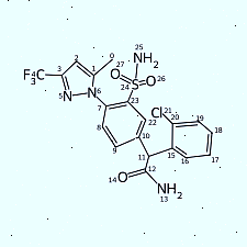 Cc1cc(C(F)(F)F)nn1-c1ccc(C(C(N)=O)c2ccccc2Cl)cc1S(N)(=O)=O